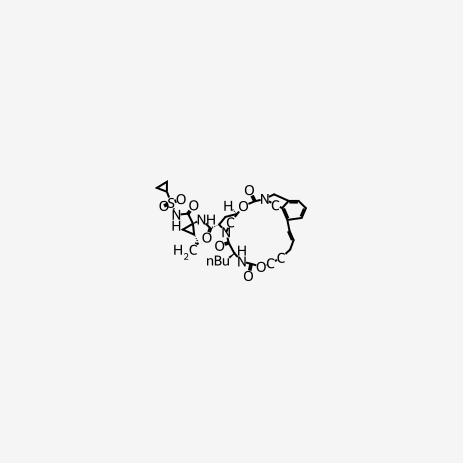 C=C[C@@H]1C[C@]1(NC(=O)[C@@H]1C[C@@H]2CN1C(=O)[C@H](CCCC)NC(=O)OCCC/C=C/c1cccc3c1CN(C3)C(=O)O2)C(=O)NS(=O)(=O)C1CC1